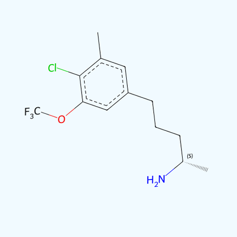 Cc1cc(CCC[C@H](C)N)cc(OC(F)(F)F)c1Cl